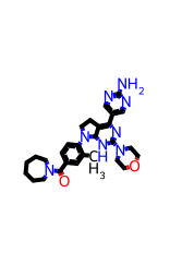 Cc1cc(C(=O)N2CCCCCC2)ccc1N1CCC2=C(c3cnc(N)nc3)N=C(N3CCOCC3)NC21